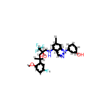 COc1ccc(F)cc1C(C)(C)CC(O)(CNc1cc(C)cc2c1cnn2-c1cccc(O)c1)C(F)(F)F